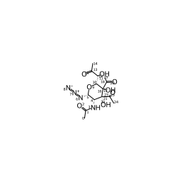 CC(=O)N[C@@H]1[C@H](N=[N+]=[N-])O[C@H](C(O)C(C)=O)[C@](O)(C(C)=O)[C@@]1(O)C(C)=O